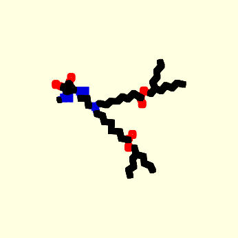 CCCCCC(CCCCC)COC(=O)CCCCCCCN(CCCCCCCC(=O)OCC(CCCC)CCCC)CCCNc1c(NC)c(=O)c1=O